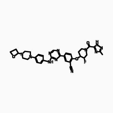 Cc1n[nH]c(C(=O)N2CC[C@H](Oc3ccc(-c4ncnc(Nc5ccc(N6CCN(C7CCO7)CC6)cc5)n4)cc3C#N)[C@H](F)C2)n1